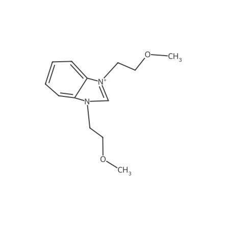 COCCn1c[n+](CCOC)c2ccccc21